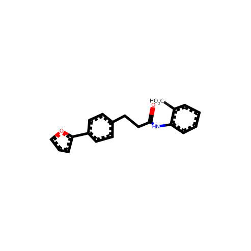 O=C(CCc1ccc(-c2ccco2)cc1)Nc1ccccc1C(=O)O